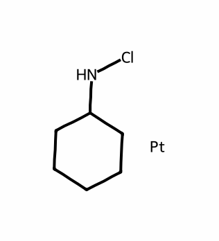 ClNC1CCCCC1.[Pt]